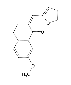 COc1ccc2c(c1)C(=O)/C(=C\c1ccco1)CC2